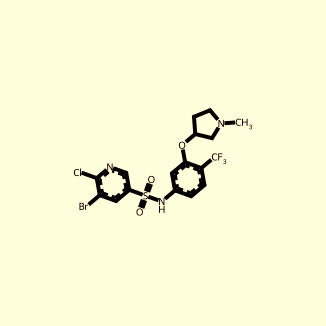 CN1CCC(Oc2cc(NS(=O)(=O)c3cnc(Cl)c(Br)c3)ccc2C(F)(F)F)C1